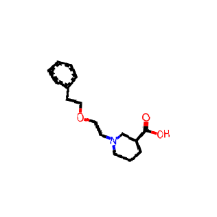 O=C(O)C1CCCN(CCOCCc2ccccc2)C1